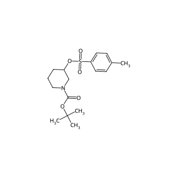 Cc1ccc(S(=O)(=O)OC2CCCN(C(=O)OC(C)(C)C)C2)cc1